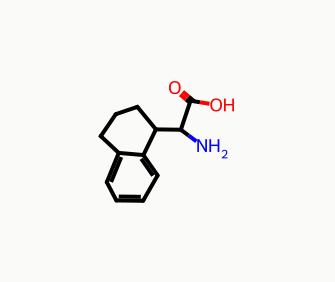 NC(C(=O)O)C1CCCc2ccccc21